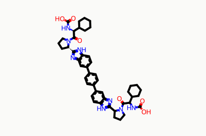 O=C(O)NC(C(=O)N1CCCC1c1nc2cc(-c3ccc(-c4ccc5[nH]c([C@@H]6CCCN6C(=O)[C@@H](NC(=O)O)C6CCCCC6)nc5c4)cc3)ccc2[nH]1)C1CCCCC1